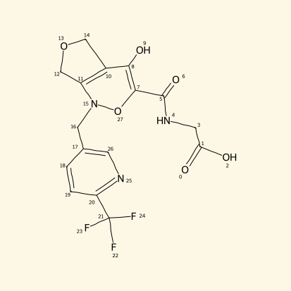 O=C(O)CNC(=O)C1=C(O)C2=C(COC2)N(Cc2ccc(C(F)(F)F)nc2)O1